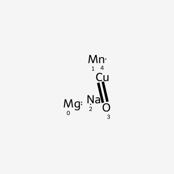 [Mg].[Mn].[Na].[O]=[Cu]